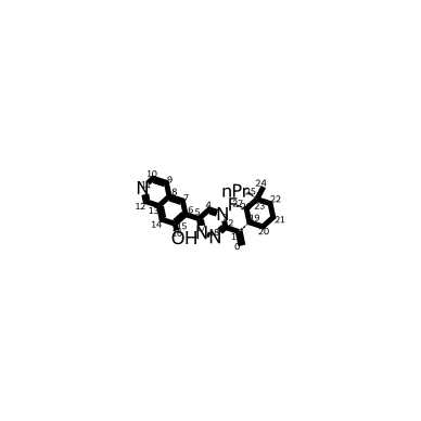 C=C(c1ncc(-c2cc3ccncc3cc2O)nn1)[C@H]1CCC[C@@](C)(CCC)[C@H]1F